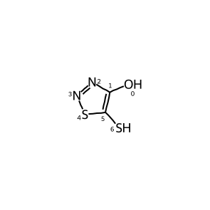 Oc1nnsc1S